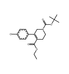 CCOC(=O)C1=C(c2ccc(Cl)cc2)CN(C(=O)OC(C)(C)C)CC1